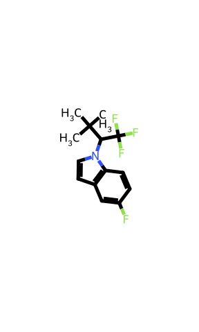 CC(C)(C)C(n1ccc2cc(F)ccc21)C(F)(F)F